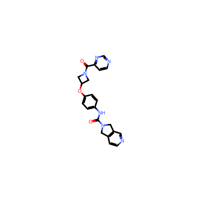 O=C(Nc1ccc(OC2CN(C(=O)c3ccncn3)C2)cc1)N1Cc2ccncc2C1